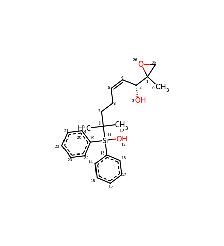 CC1([C@H](O)/C=C\CCC(C)(C)[Si](O)(c2ccccc2)c2ccccc2)CO1